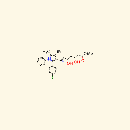 COC(=O)CC(O)CC(O)/C=C/c1c(C(C)C)c(C)n(-c2ccccc2)c1-c1ccc(F)cc1